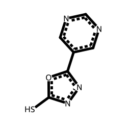 Sc1nnc(-c2cncnc2)o1